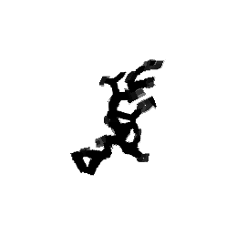 CC(F)C(Cc1oc2c(NCc3cccs3)cc(Cl)nc2c1C#N)NC(=O)OC(C)(C)C